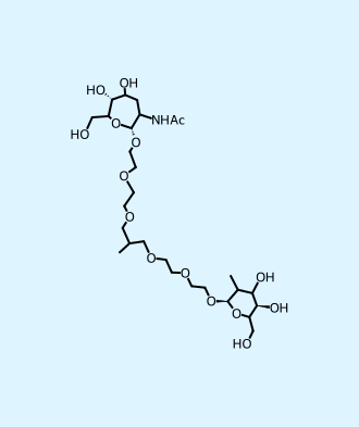 CC(=O)NC1CC(O)[C@@H](O)C(CO)O[C@H]1OCCOCCOCC(C)COCCOCCO[C@@H]1OC(CO)[C@H](O)C(O)C1C